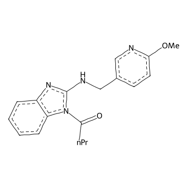 CCCC(=O)n1c(NCc2ccc(OC)nc2)nc2ccccc21